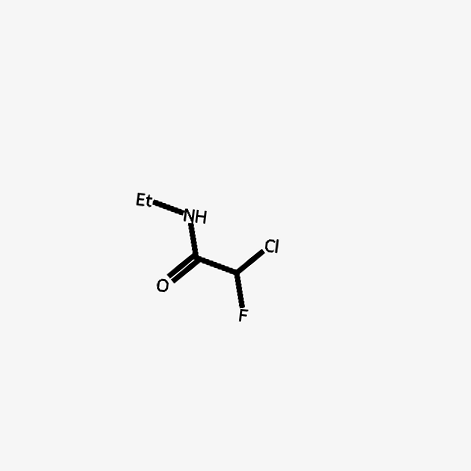 CCNC(=O)C(F)Cl